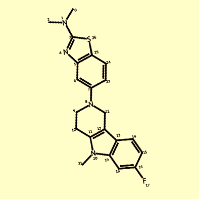 CN(C)c1nc2cc(N3CCc4c(c5ccc(F)cc5n4C)C3)ccc2s1